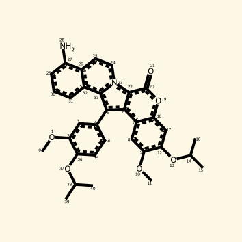 COc1cc(-c2c3c4cc(OC)c(OC(C)C)cc4oc(=O)c3n3ccc4c(N)cccc4c23)ccc1OC(C)C